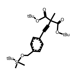 CC(C)(C)OC(=O)C(C)(C#Cc1ccc(CO[Si](C)(C)C(C)(C)C)cc1)C(=O)OC(C)(C)C